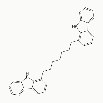 c1ccc2c(c1)[pH]c1c(CCCCCCCc3cccc4c3[pH]c3ccccc34)cccc12